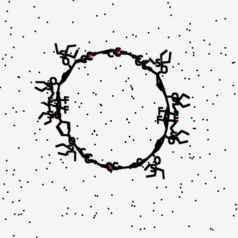 CC[Si](CC)(CC)OC12C=CC(O[Si](CC)(CC)CC)(C=C1)c1c(F)c(F)c(c(F)c1F)C1(O[Si](CC)(CC)CC)C=CC(O[Si](CC)(CC)CC)(C=C1)c1ccc(cc1)-c1ccc(cc1)-c1ccc(cc1)C1(O[Si](CC)(CC)CC)C=CC(O[Si](CC)(CC)CC)(C=C1)c1c(F)c(F)c(c(F)c1F)C1(O[Si](CC)(CC)CC)C=CC(O[Si](CC)(CC)CC)(C=C1)C1C=CC(=CC1)c1ccc(cc1)-c1ccc2cc1